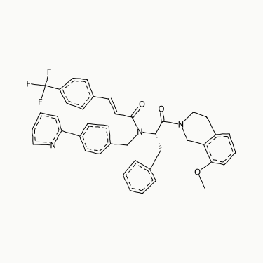 COc1cccc2c1CN(C(=O)[C@H](Cc1ccccc1)N(Cc1ccc(-c3ccccn3)cc1)C(=O)/C=C/c1ccc(C(F)(F)F)cc1)CC2